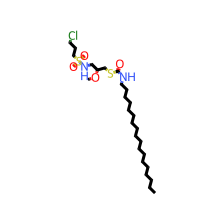 CCCCCCCCCCCCCCCCCCNC(=O)SCC(CNS(=O)(=O)CCCCl)OC